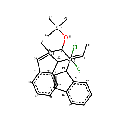 C[CH]=[Zr]([Cl])([Cl])([CH](CC)O[Si](C)(C)C)([CH]1C=Cc2ccccc21)[CH]1C=Cc2ccccc21